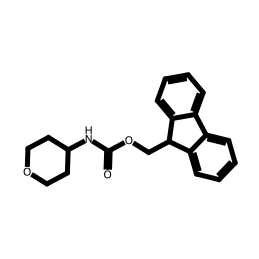 O=C(NC1CCOCC1)OCC1c2ccccc2-c2ccccc21